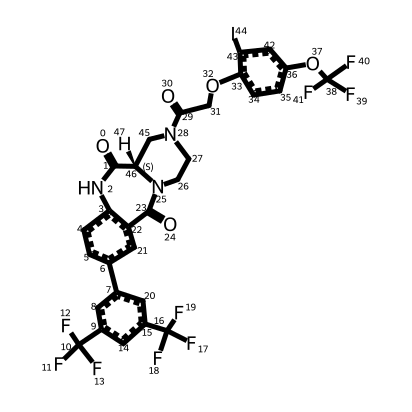 O=C1Nc2ccc(-c3cc(C(F)(F)F)cc(C(F)(F)F)c3)cc2C(=O)N2CCN(C(=O)COc3ccc(OC(F)(F)F)cc3I)C[C@@H]12